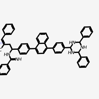 C/C(=C/c1ccccc1)CC(NC(=N)c1ccccc1)c1ccc(-c2ccc(-c3ccc(C4NC(c5ccccc5)NC(c5ccccc5)N4)cc3)c3ccccc23)cc1